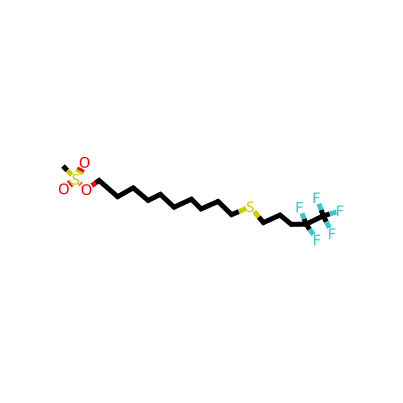 CS(=O)(=O)OCCCCCCCCCCSCCCC(F)(F)C(F)(F)F